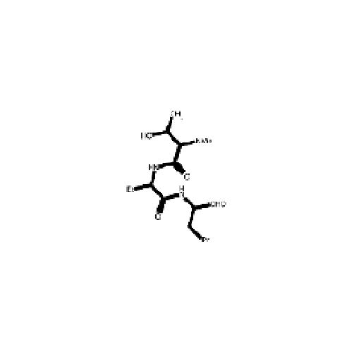 CCC(NC(=O)C(NC)C(C)O)C(=O)NC(C=O)CC(C)C